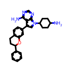 Nc1ncnc2c1c(-c1ccc3c(c1)OC(c1ccccc1)CC3)cn2C1CCC(N)CC1